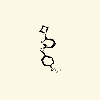 O=C(O)C1CCC(Oc2cccc(N3CCC3)n2)CC1